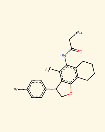 Cc1c(NC(=O)CC(C)(C)C)c2c(c3c1C(c1ccc(C(C)C)cc1)CO3)CCCC2